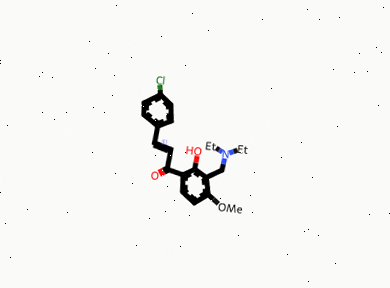 CCN(CC)Cc1c(OC)ccc(C(=O)/C=C/c2ccc(Cl)cc2)c1O